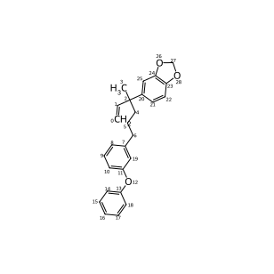 C=CC(C)(CCCc1cccc(Oc2ccccc2)c1)c1ccc2c(c1)OCO2